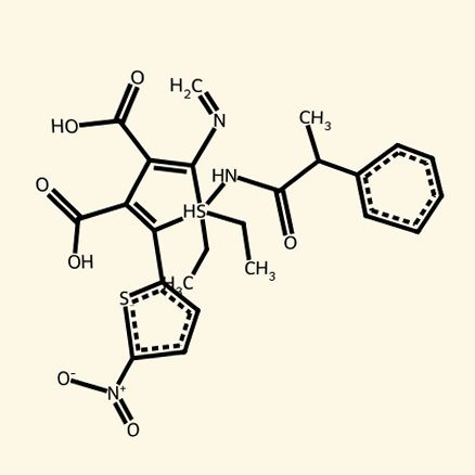 C=NC1=C(C(=O)O)C(C(=O)O)=C(c2ccc([N+](=O)[O-])s2)[SH]1(CC)(CC)NC(=O)C(C)c1ccccc1